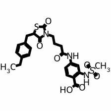 CCc1ccc(CC2SC(=O)N(CCCC(=O)Nc3ccc(C(=O)O)c(NS(C)(=O)=O)c3)C2=O)cc1